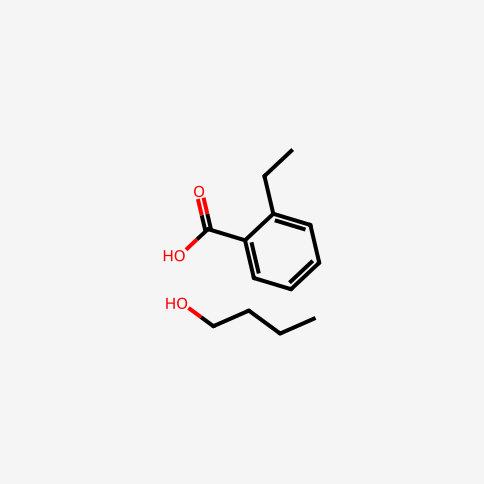 CCCCO.CCc1ccccc1C(=O)O